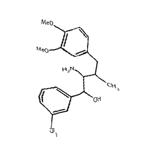 COc1ccc(CC(C)C(N)C(O)c2cccc(C(F)(F)F)c2)cc1OC